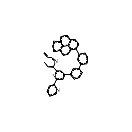 C=C/C=N\C(=C/C)c1cc(-c2cccc(-c3cccc(-c4ccc5ccc6cccc7ccc4c5c67)c3)c2)cc(-c2ccccn2)n1